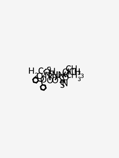 C=C1CS[C@H]2[C@H](NC(=O)C(NC(=O)OC(C)(C)C)c3cnsc3)C(=O)N2[C@H]1C(=O)OC(c1ccccc1)c1ccccc1